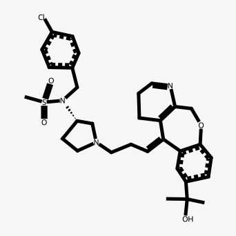 CC(C)(O)c1ccc2c(c1)/C(=C/CCN1CC[C@H](N(Cc3ccc(Cl)cc3)S(C)(=O)=O)C1)C1=C(CO2)N=CCC1